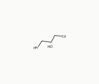 CCCCC[CH2][Cd].Cl